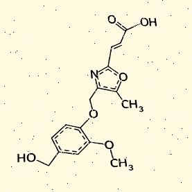 COc1cc(CO)ccc1OCc1nc(C=CC(=O)O)oc1C